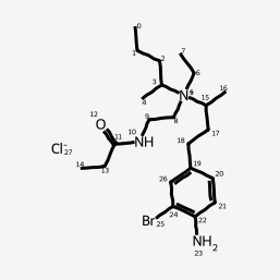 CCCC(C)[N+](CC)(CCNC(=O)CC)C(C)CCc1ccc(N)c(Br)c1.[Cl-]